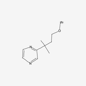 CC(C)OCCC(C)(C)c1cnccn1